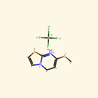 CSC1=CCN2C=CSC2=[NH+]1.F[B-](F)(F)F